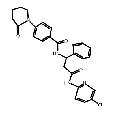 O=C(CC(NC(=O)c1ccc(N2CCCCC2=O)cc1)c1ccccc1)Nc1ccc(Cl)cn1